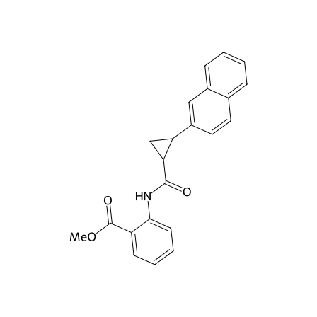 COC(=O)c1ccccc1NC(=O)C1CC1c1ccc2ccccc2c1